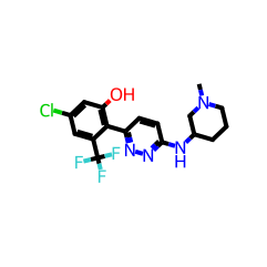 CN1CCCC(Nc2ccc(-c3c(O)cc(Cl)cc3C(F)(F)F)nn2)C1